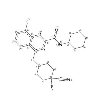 N#CC1(F)CCN(Cc2cc(C(=O)NC3CCCCC3)nc3c(F)cccc23)CC1